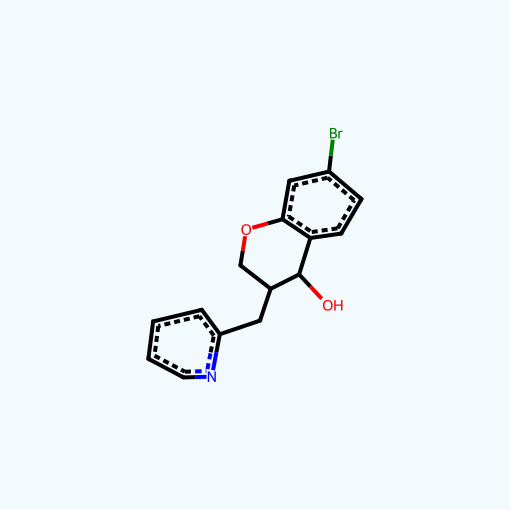 OC1c2ccc(Br)cc2OCC1Cc1ccccn1